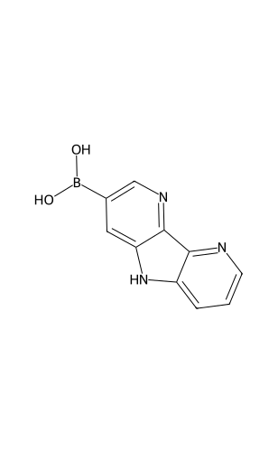 OB(O)c1cnc2c(c1)[nH]c1cccnc12